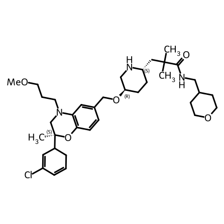 COCCCN1C[C@](C)(C2C=C(Cl)C=CC2)Oc2ccc(CO[C@@H]3CC[C@@H](CC(C)(C)C(=O)NCC4CCOCC4)NC3)cc21